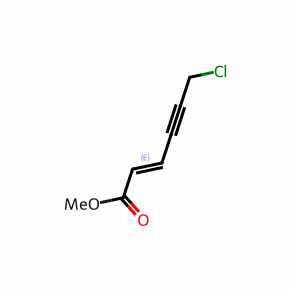 COC(=O)/C=C/C#CCCl